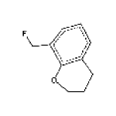 FCc1cccc2c1OCCC2